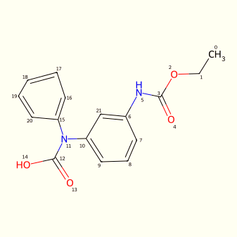 CCOC(=O)Nc1cccc(N(C(=O)O)c2ccccc2)c1